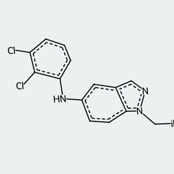 CC(C)Cn1ncc2cc(Nc3cccc(Cl)c3Cl)ccc21